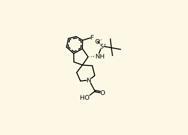 CC(C)(C)[S@+]([O-])N[C@H]1c2c(F)cccc2CC12CCN(C(=O)O)CC2